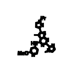 COc1cc(Nc2nc(-c3nccn3C)nc3sc(-c4ccn(C(C)C)n4)c(C)c23)ccn1